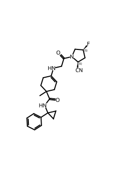 CC1(C(=O)NC2(c3ccccc3)CC2)CC=C(NCC(=O)N2C[C@@H](F)C[C@H]2C#N)CC1